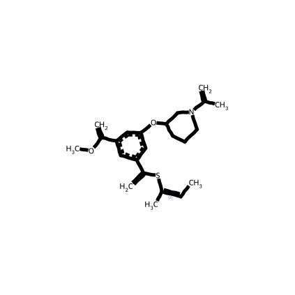 C=C(OC)c1cc(OC2CCCN(C(=C)C)C2)cc(C(=C)S/C(C)=C\C)c1